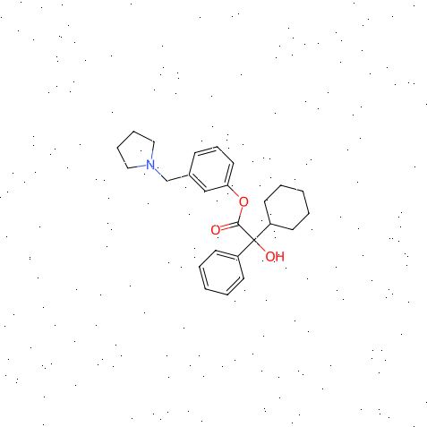 O=C(Oc1cccc(CN2CCCC2)c1)C(O)(c1ccccc1)C1CCCCC1